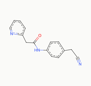 N#CCc1ccc(NC(=O)Cc2ccccn2)cc1